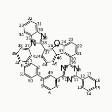 c1ccc(-c2cccc(-c3nc(-c4ccccc4)nc(-c4cccc5oc6c(-c7nc8ccccc8n7-c7ccccc7)cccc6c45)n3)c2)cc1